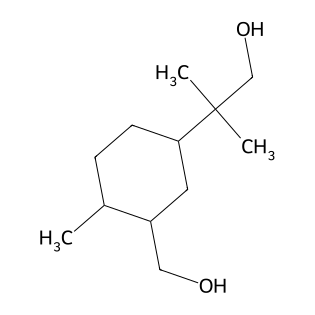 CC1CCC(C(C)(C)CO)CC1CO